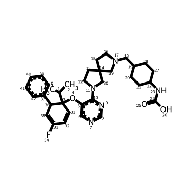 CC(C)C1(Oc2cncnc2N2CCC3(CCN(CC4CCC(NC(=O)O)CC4)C3)C2)C=CC(F)=CC1c1ccccc1